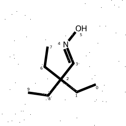 CCC(C=NO)(CC)CC